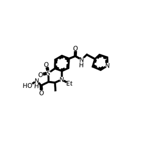 CCN1c2cc(C(=O)NCc3ccncc3)ccc2S(=O)(=O)C(C(=O)NO)C1C